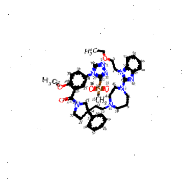 CCOCCn1c(N2CCCN(CCC3(c4ccccc4)CCN(C(=O)c4cc(-n5cnnc5S(C)(=O)=O)ccc4OC)C3)CC2)nc2ccccc21